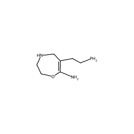 NC1=C(CCP)CNCCO1